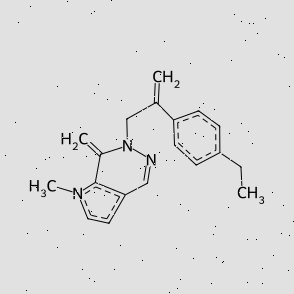 C=C(CN1N=Cc2ccn(C)c2C1=C)c1ccc(CC)cc1